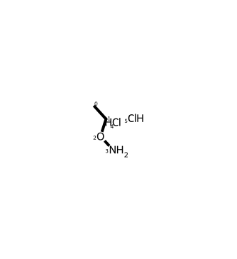 CCON.Cl.Cl